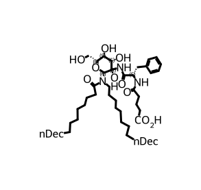 CCCCCCCCCCCCCCCCCCN(C(=O)CCCCCCCCCCCCCCCCC)[C@@H]1O[C@H](CO)[C@@H](O)[C@H](O)[C@]1(O)NC(=O)[C@H](Cc1ccccc1)NC(=O)CCCC(=O)O